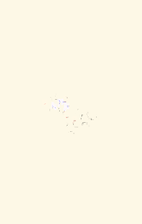 CC12COCCN1c1cc(OCc3ccccc3Oc3cc(F)c(C#N)cc3C(F)(F)F)nc(=O)n1C2